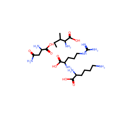 CCC(C)C(N)C(=O)O.N=C(N)NCCCC(N)C(=O)O.NC(=O)CC(N)C(=O)O.NCCCCC(N)C(=O)O